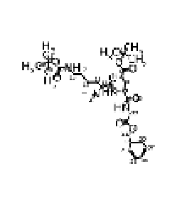 CC(C)(C)OC(=O)CCC(NC(=O)C(N)CCCCNC(=O)OC(C)(C)C)C(=O)NCC(=O)OCc1ccccc1